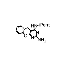 CCCC(C)Nc1nc(N)ncc1Cn1ccccc1=O